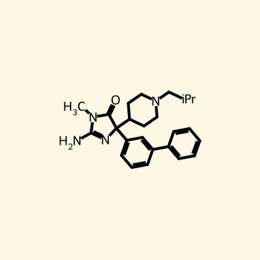 CC(C)CN1CCC(C2(c3cccc(-c4ccccc4)c3)N=C(N)N(C)C2=O)CC1